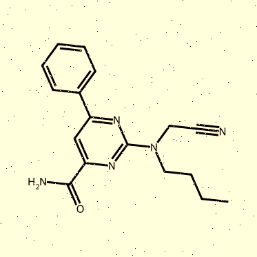 CCCCN(CC#N)c1nc(C(N)=O)cc(-c2ccccc2)n1